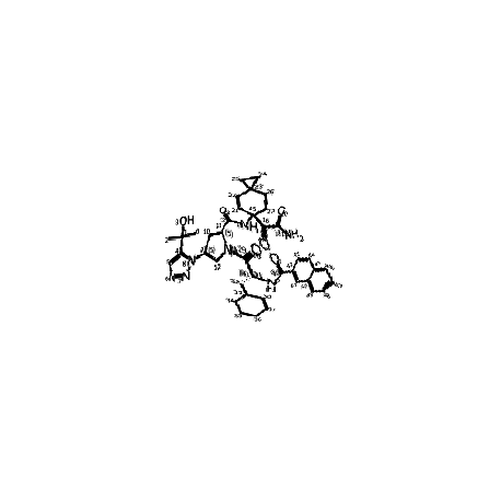 CC(C)(O)c1cnnn1[C@H]1C[C@@H](C(=O)NC2(C(=O)C(N)=O)CCC3(CC3)CC2)N(C(=O)[C@@H](CC2CCCCC2)NC(=O)c2ccc3ccccc3c2)C1